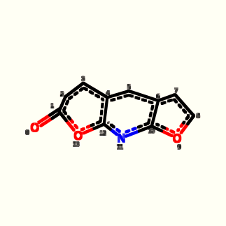 O=c1ccc2cc3ccoc3nc2o1